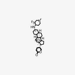 CN1CCC(N[C@H]2CC[C@@]3(C)[C@H](CC[C@@H]4[C@@H]3CC[C@]3(C)[C@@H](c5ccc(=O)oc5)CC[C@]43O)C2)[C@@H](F)C1